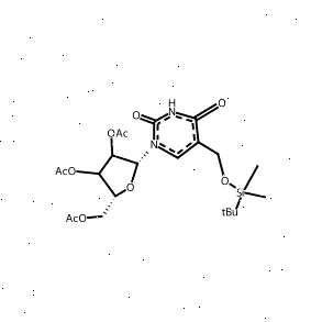 CC(=O)OC[C@H]1O[C@@H](n2cc(CO[Si](C)(C)C(C)(C)C)c(=O)[nH]c2=O)C(OC(C)=O)C1OC(C)=O